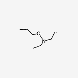 [CH2]CN(CC)OCCC